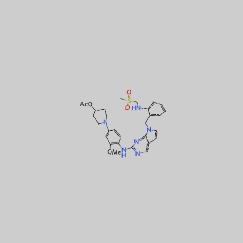 COc1cc(N2CCC(OC(C)=O)CC2)ccc1Nc1ncc2ccn(Cc3ccccc3NCS(C)(=O)=O)c2n1